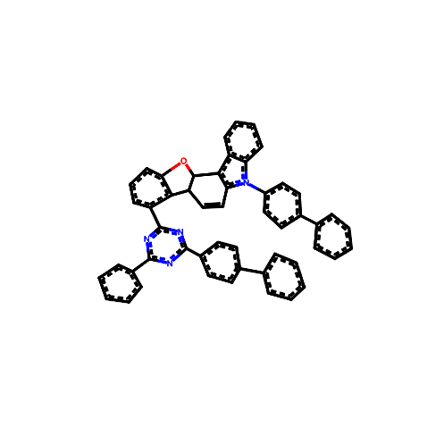 C1=CC2c3c(cccc3-c3nc(-c4ccccc4)nc(-c4ccc(-c5ccccc5)cc4)n3)OC2c2c1n(-c1ccc(-c3ccccc3)cc1)c1ccccc21